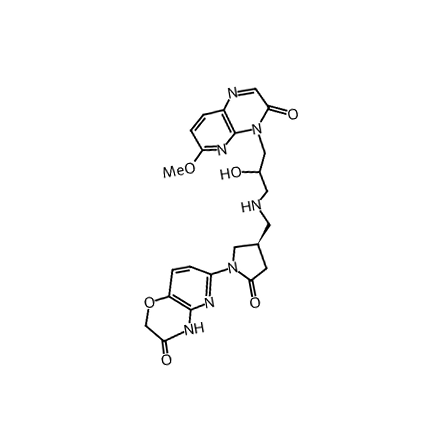 COc1ccc2ncc(=O)n(CC(O)CNC[C@H]3CC(=O)N(c4ccc5c(n4)NC(=O)CO5)C3)c2n1